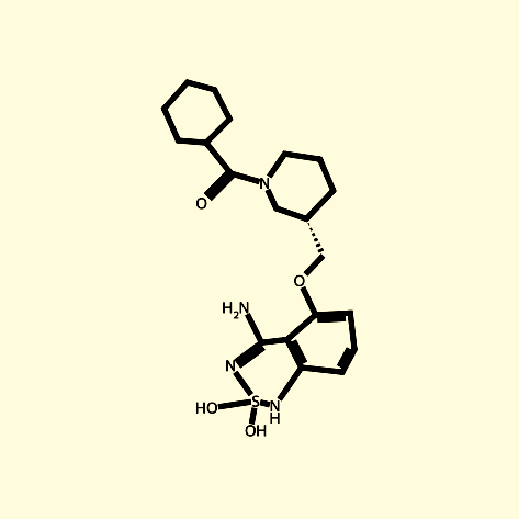 NC1=NS(O)(O)Nc2cccc(OC[C@H]3CCCN(C(=O)C4CCCCC4)C3)c21